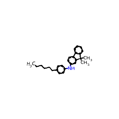 CCCCCCc1ccc(Nc2ccc3c(c2)C(C)(C)c2ccccc2-3)cc1